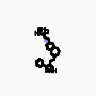 O=C(/C=C/c1ccc2c(c1)CCCN(CCc1c[nH]nc1-c1ccccc1)C2)NO